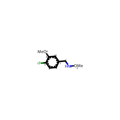 CONCc1ccc(F)c(OC)c1